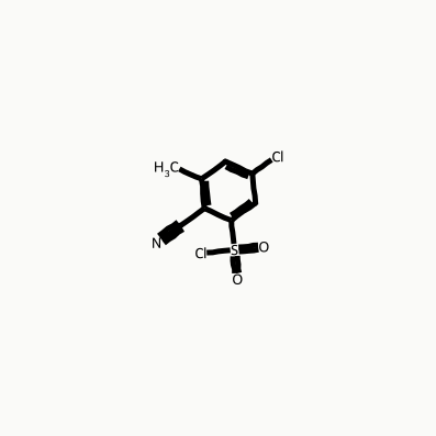 Cc1cc(Cl)cc(S(=O)(=O)Cl)c1C#N